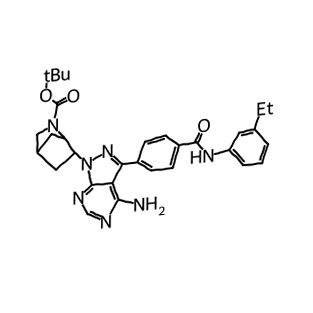 CCc1cccc(NC(=O)c2ccc(-c3nn(C4CC5CC4N(C(=O)OC(C)(C)C)C5)c4ncnc(N)c34)cc2)c1